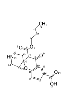 CCCCOC(=O)C1C(=O)c2cc(C(=O)O)ccc2OC12CCNCC2